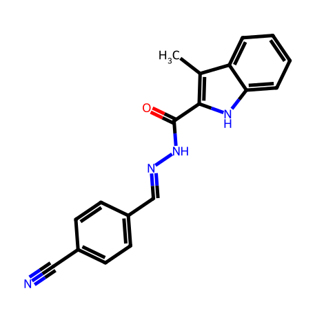 Cc1c(C(=O)NN=Cc2ccc(C#N)cc2)[nH]c2ccccc12